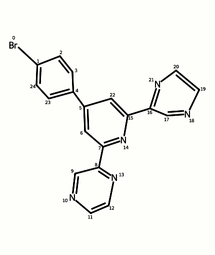 Brc1ccc(-c2cc(-c3cnccn3)nc(-c3cnccn3)c2)cc1